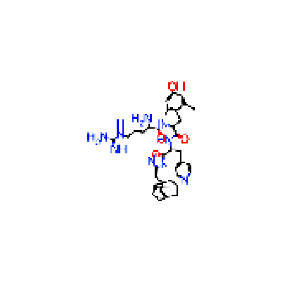 Cc1cc(O)cc(C)c1CC(NC(=O)C(N)CCCNC(=N)N)C(=O)N[C@@H](Cc1ccncc1)c1nc(CC23CC4CC(CC(C4)C2)C3)no1